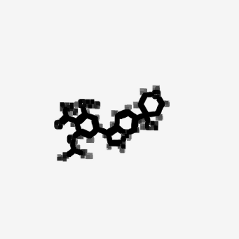 COc1cc(-c2cnn3cc(C4(C#N)CCOCC4)ccc23)cc(OC(F)F)c1C(N)=O